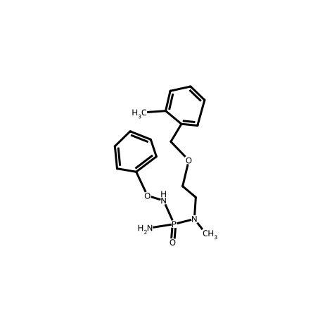 Cc1ccccc1COCCN(C)P(N)(=O)NOc1ccccc1